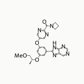 COC[C@H](C)Oc1cc(Oc2cnc(C(=O)N3CCC3)nc2)cc(-c2nc3cncnc3[nH]2)c1